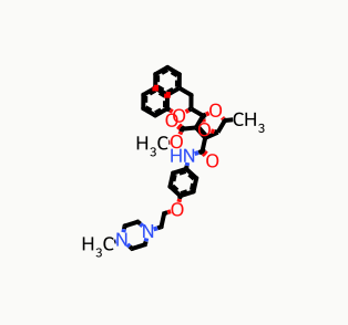 COC(=O)C1=C(C(=O)Nc2ccc(OCCN3CCN(C)CC3)cc2)C2OC1(C(Cc1ccccc1)Oc1ccccc1)OC2C